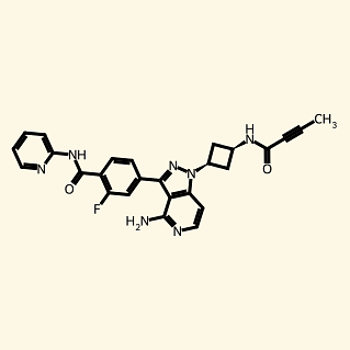 CC#CC(=O)N[C@H]1C[C@@H](n2nc(-c3ccc(C(=O)Nc4ccccn4)c(F)c3)c3c(N)nccc32)C1